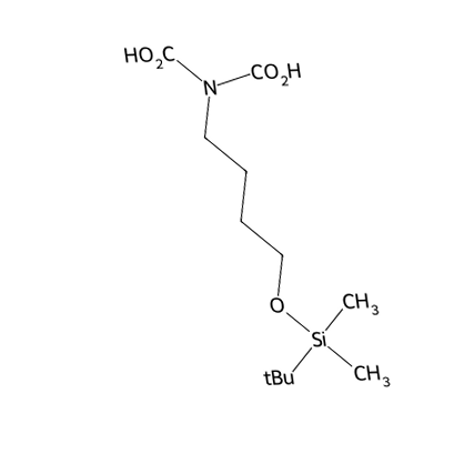 CC(C)(C)[Si](C)(C)OCCCCN(C(=O)O)C(=O)O